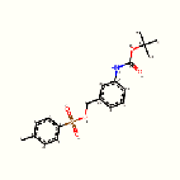 Cc1ccc(S(=O)(=O)OCc2cccc(NC(=O)OC(C)(C)C)c2)cc1